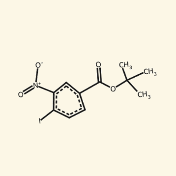 CC(C)(C)OC(=O)c1ccc(I)c([N+](=O)[O-])c1